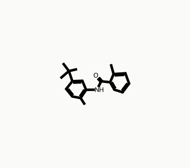 Cc1ccc(C(C)(C)C)cc1NC(=O)c1ccccc1C